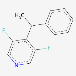 CC(c1ccccc1)c1c(F)cncc1F